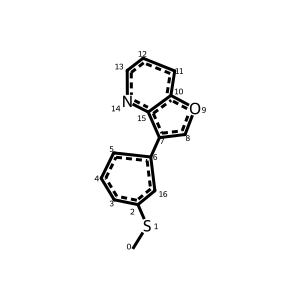 CSc1cccc(-c2coc3cccnc23)c1